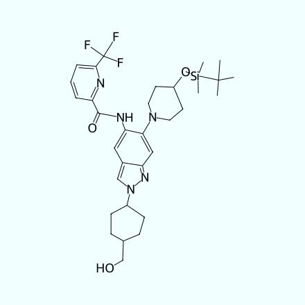 CC(C)(C)[Si](C)(C)OC1CCN(c2cc3nn(C4CCC(CO)CC4)cc3cc2NC(=O)c2cccc(C(F)(F)F)n2)CC1